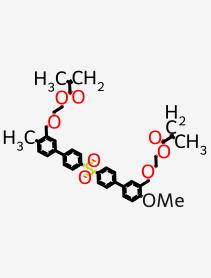 C=C(C)C(=O)OCCOCc1cc(-c2ccc(S(=O)(=O)c3ccc(-c4ccc(OC)c(COCCOC(=O)C(=C)C)c4)cc3)cc2)ccc1C